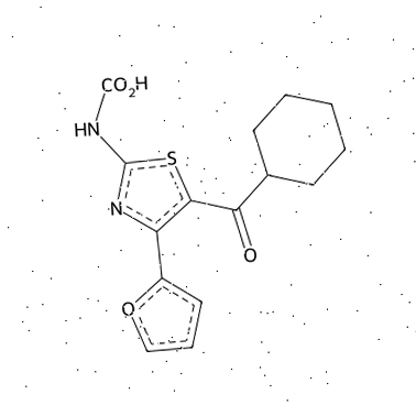 O=C(O)Nc1nc(-c2ccco2)c(C(=O)C2CCCCC2)s1